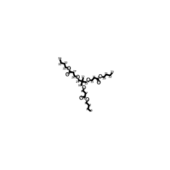 CCCCOC(=O)CCOCC(C)(COCCC(=O)OCCCC)COCCC(=O)OCCCC